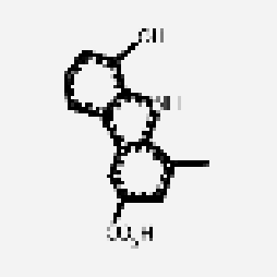 Cc1cc(C(=O)O)cc2c1[nH]c1c(O)cccc12